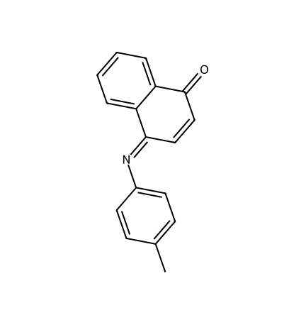 Cc1ccc(N=C2C=CC(=O)c3ccccc32)cc1